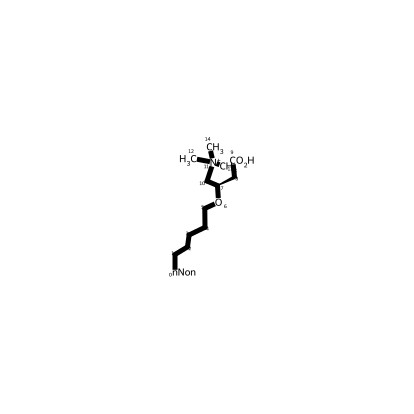 CCCCCCCCCCCCCCO[C@H](CC(=O)O)C[N+](C)(C)C